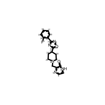 O=c1[nH]ccnc1CN1CCC(c2nc(-c3ccccc3F)no2)CC1